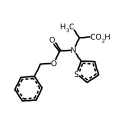 CC(C(=O)O)N(C(=O)OCc1ccccc1)c1cccs1